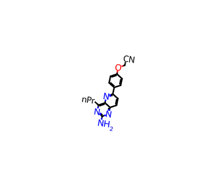 CCCc1nc(N)nc2ccc(-c3ccc(OCC#N)cc3)nc12